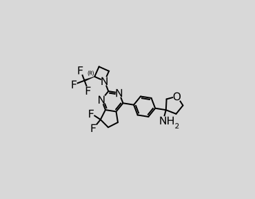 NC1(c2ccc(-c3nc(N4CC[C@@H]4C(F)(F)F)nc4c3CCC4(F)F)cc2)CCOC1